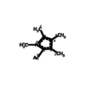 CC(=O)c1c(C)c(C)c(C)n1C